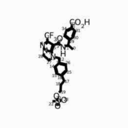 CC(NC(=O)c1c(C(F)(F)F)nn2c1N(Cc1ccc(CCCOS(C)(=O)=O)cc1)CC2)c1ccc(C(=O)O)cc1